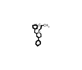 CC(C)=CCN1CCC(c2ccccc2)=CC1Cc1ccccc1